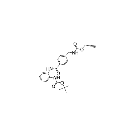 C#CCOC(=O)NCc1ccc(C(=O)Nc2ccccc2NC(=O)OC(C)(C)C)cc1